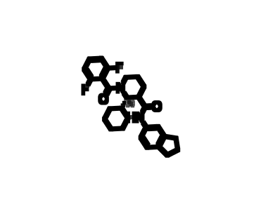 O=C(Nc1ccc2c(c1)CCC2)C1CCCN(C(=O)c2c(F)cccc2F)[C@H]1C1CCCCC1